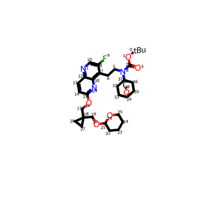 CC(C)(C)OC(=O)N(CCc1c(F)cnc2ccc(OCC3(COC4CCCCO4)CC3)nc12)C12CCC(CC1)OC2